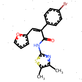 Cc1nc(NC(=O)C(=Cc2ccco2)c2ccc(Br)cc2)sc1C